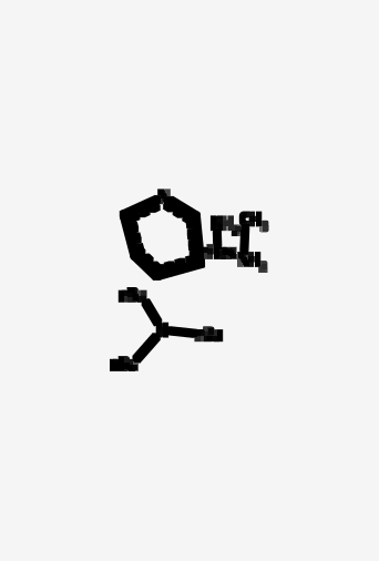 CCCCCCN.CCCCN(CCCC)CCCC.CN.c1ccncc1